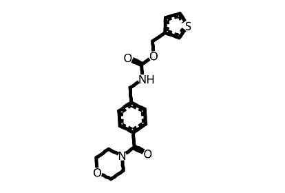 O=C(NCc1ccc(C(=O)N2CCOCC2)cc1)OCc1ccsc1